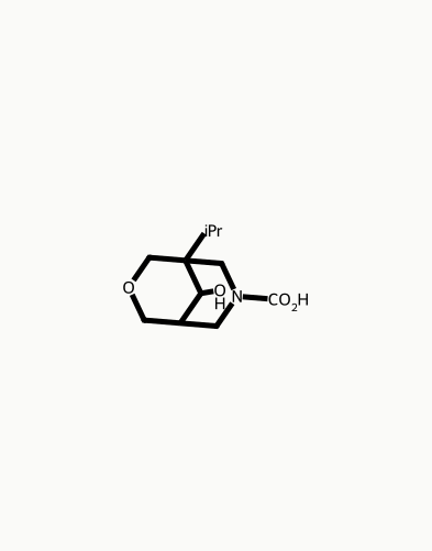 CC(C)C12COCC(CN(C(=O)O)C1)C2O